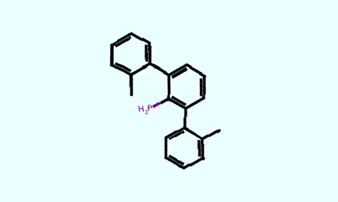 Cc1ccccc1-c1cccc(-c2ccccc2C)c1P